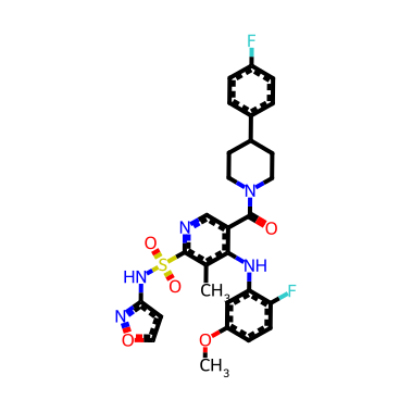 COc1ccc(F)c(Nc2c(C(=O)N3CCC(c4ccc(F)cc4)CC3)cnc(S(=O)(=O)Nc3ccon3)c2C)c1